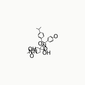 COc1ccc(-c2nc(C3(C(=O)O)CCN(C(=O)N(C)O)CC3)oc2-c2ccc(C(C)C)cc2)cc1